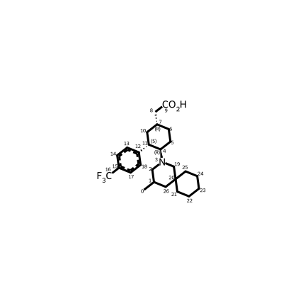 CC1CN([C@@H]2CC[C@@H](CC(=O)O)C[C@H]2c2ccc(C(F)(F)F)cc2)CC2(CCCCC2)C1